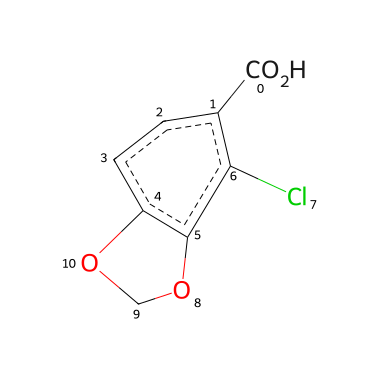 O=C(O)c1ccc2c(c1Cl)OCO2